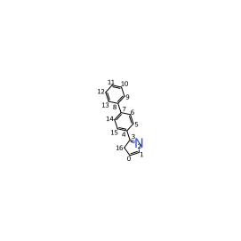 C1=CN=C(c2ccc(-c3ccccc3)cc2)C1